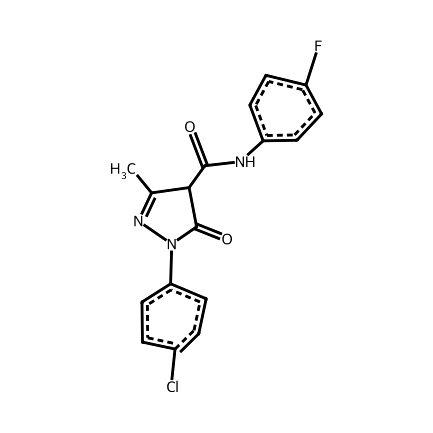 CC1=NN(c2ccc(Cl)cc2)C(=O)C1C(=O)Nc1ccc(F)cc1